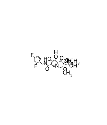 COC1Cn2cc(C(=O)NCc3ccc(F)cc3F)c(=O)c(O)c2C(=O)C1(C)CP(C)(=O)O